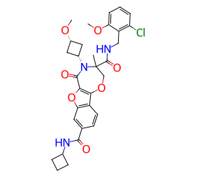 COc1cccc(Cl)c1CNC(=O)C1(C)COc2c(oc3cc(C(=O)NC4CCC4)ccc23)C(=O)N1[C@H]1C[C@@H](OC)C1